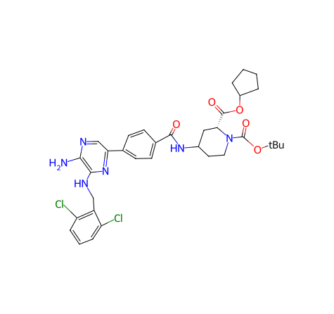 CC(C)(C)OC(=O)N1CCC(NC(=O)c2ccc(-c3cnc(N)c(NCc4c(Cl)cccc4Cl)n3)cc2)C[C@@H]1C(=O)OC1CCCC1